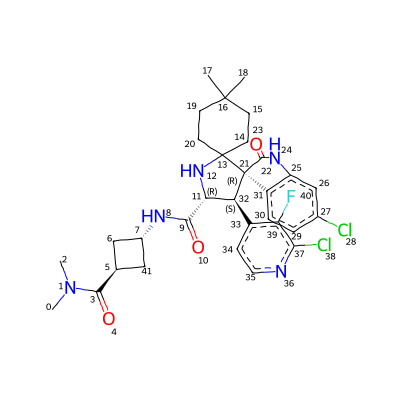 CN(C)C(=O)[C@H]1C[C@H](NC(=O)[C@@H]2NC3(CCC(C)(C)CC3)[C@@]3(C(=O)Nc4cc(Cl)ccc43)[C@H]2c2ccnc(Cl)c2F)C1